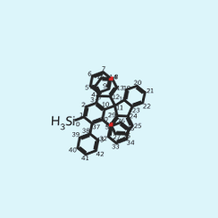 [SiH3]c1cc(-c2ccccc2)c(C2(c3ccccc3)c3ccccc3-c3ccccc32)c(-c2ccccc2)c1-c1ccccc1